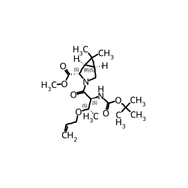 C=CCO[C@@H](C)[C@H](NC(=O)OC(C)(C)C)C(=O)N1C[C@H]2[C@@H]([C@H]1C(=O)OC)C2(C)C